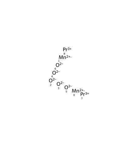 [Mn+2].[Mn+2].[O-2].[O-2].[O-2].[O-2].[O-2].[Pr+3].[Pr+3]